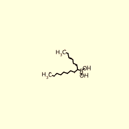 CCCCCCCCC(CCCCCC)B(O)O